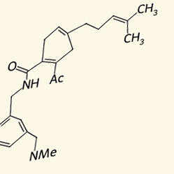 CNCc1cccc(CNC(=O)C2=C(C(C)=O)CC(CCC=C(C)C)=CC2)c1